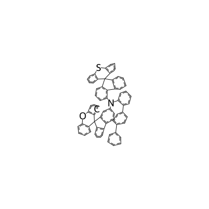 c1ccc(-c2ccc(-c3ccccc3N(c3ccc4c(c3)C3(c5ccccc5Oc5ccccc53)c3ccccc3-4)c3cccc4c3-c3ccccc3C43c4ccccc4Sc4ccccc43)cc2)cc1